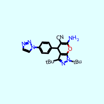 CC(C)(C)c1nn(C(C)(C)C)c2c1C(c1ccc(-n3ccnn3)cc1)C(C#N)=C(N)O2